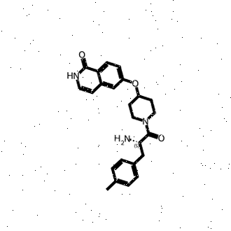 Cc1ccc(C[C@H](N)C(=O)N2CCC(Oc3ccc4c(=O)[nH]ccc4c3)CC2)cc1